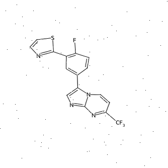 Fc1ccc(-c2cnc3nc(C(F)(F)F)ccn23)cc1-c1nccs1